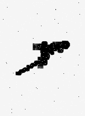 CCCCCCCCCCCCNC(=O)c1ccc(C(CC)N(CC2CCN(C(=O)NC3CCCCC3)CC2)C(=O)C(=O)O)cc1